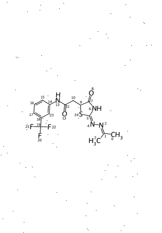 CC(C)=N/N=C1\NC(=O)C(CC(=O)Nc2cccc(C(F)(F)F)c2)S1